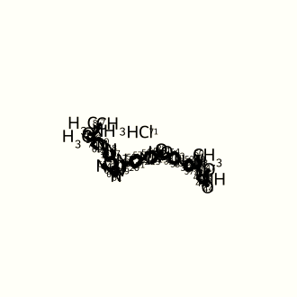 CCC1(C(=O)NC(C)C)CCN(c2ccc(-c3nc(-c4ccc(N5CCN(C(=O)CC6(O)CCN(c7ccc8c(N9CCC(=O)NC9=O)nn(C)c8c7)CC6)CC5)cc4)cn4ncc(C#N)c34)cn2)CC1.Cl